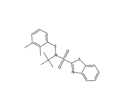 Cc1cccc(SN(C(C)(C)C)S(=O)(=O)c2nc3ccccc3s2)c1C